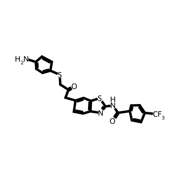 Nc1ccc(SCC(=O)Cc2ccc3nc(NC(=O)c4ccc(C(F)(F)F)cc4)sc3c2)cc1